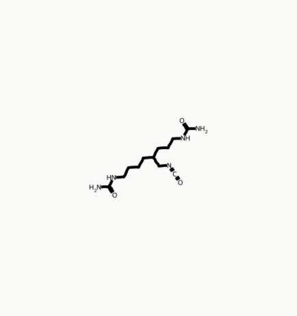 NC(=O)NCCCCC(CCCNC(N)=O)CN=C=O